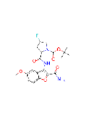 COc1ccc2oc(C(N)=O)c(NC(=O)C3CC(F)CN3C(=O)OC(C)(C)C)c2c1